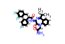 CC(C)C1=NC(NC(=O)[C@H](Cc2ccc(F)c(F)c2)c2ccc(F)cc2)C(=O)N(CC(N)=O)c2ccccc21